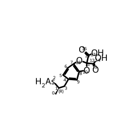 C[C@@H]([AsH2])Cc1ccc2c(c1)OC(C(=O)O)(C(=O)O)O2